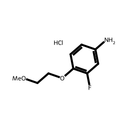 COCCOc1ccc(N)cc1F.Cl